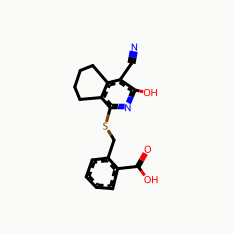 N#Cc1c(O)nc(SCc2ccccc2C(=O)O)c2c1CCCC2